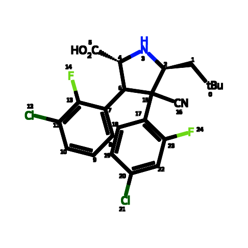 CC(C)(C)C[C@@H]1N[C@@H](C(=O)O)C(c2cccc(Cl)c2F)C1(C#N)c1ccc(Cl)cc1F